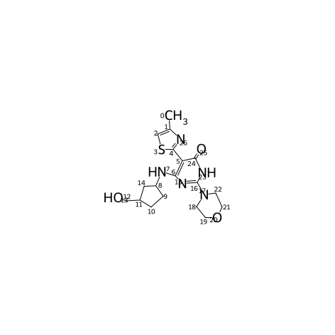 Cc1csc(-c2c(NC3CCC(CO)C3)nc(N3CCOCC3)[nH]c2=O)n1